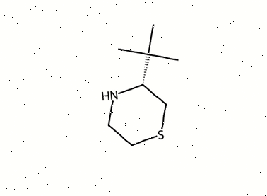 CC(C)(C)[C@@H]1CSCCN1